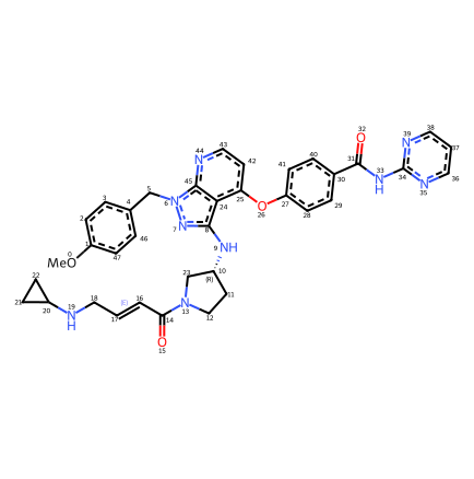 COc1ccc(Cn2nc(N[C@@H]3CCN(C(=O)/C=C/CNC4CC4)C3)c3c(Oc4ccc(C(=O)Nc5ncccn5)cc4)ccnc32)cc1